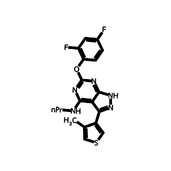 CCCNc1nc(Oc2ccc(F)cc2F)nc2[nH]nc(-c3cscc3C)c12